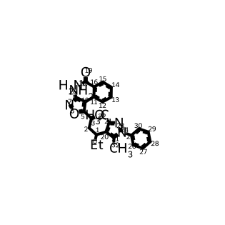 CCC(CC(=O)c1onc(N)c1-c1ccccc1C(N)=O)c1c(C)nn(-c2ccccc2)c1C